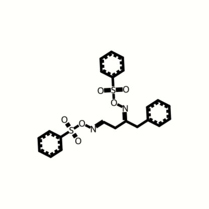 O=S(=O)(ON=CCC(Cc1ccccc1)=NOS(=O)(=O)c1ccccc1)c1ccccc1